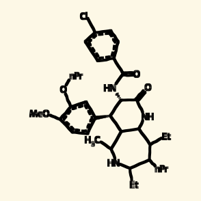 CCCOc1cc([C@@H]2C3C(C)NC(CC)C(CCC)C(CC)C3NC(=O)[C@H]2NC(=O)c2ccc(Cl)cc2)ccc1OC